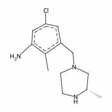 Cc1c(N)cc(Cl)cc1CN1CCN[C@@H](C)C1